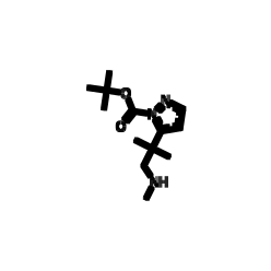 CNCC(C)(C)c1ccnn1C(=O)OC(C)(C)C